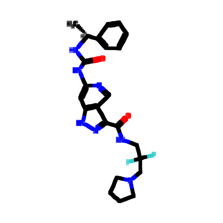 C[C@@H](NC(=O)Nc1cc2[nH]nc(C(=O)NCC(F)(F)CN3CCCC3)c2cn1)c1ccccc1